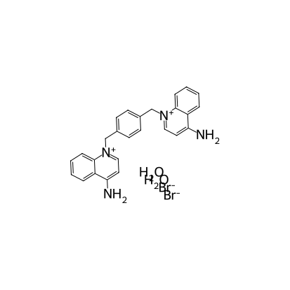 Nc1cc[n+](Cc2ccc(C[n+]3ccc(N)c4ccccc43)cc2)c2ccccc12.O.O.[Br-].[Br-]